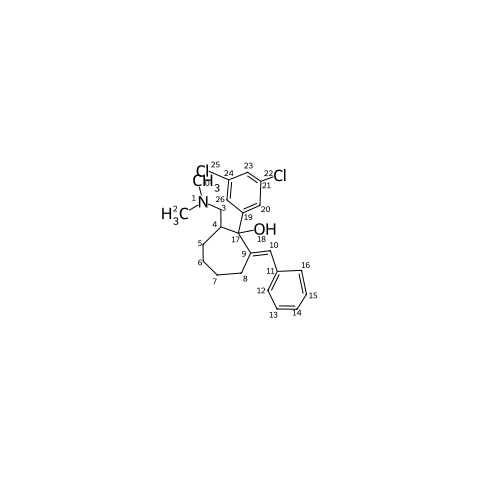 CN(C)CC1CCCCC(=Cc2ccccc2)C1(O)c1cc(Cl)cc(Cl)c1